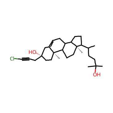 CC(CCC(C)(C)O)C1CCC2C3CC=C4C[C@](O)(CC#CCl)CC[C@]4(C)C3CC[C@]12C